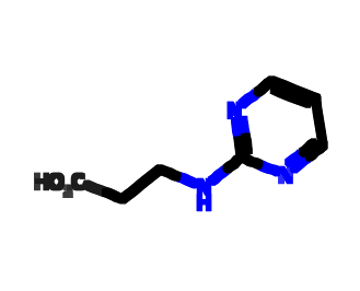 O=C(O)CCNc1ncccn1